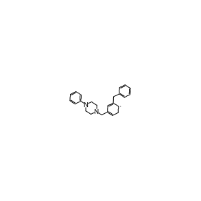 [CH]1CC=C(CN2CCN(c3ccccc3)CC2)C=C1Cc1ccccc1